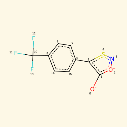 [O-]c1[o+]nsc1-c1ccc(C(F)(F)F)cc1